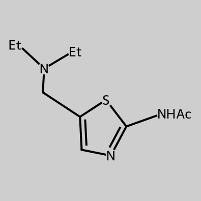 CCN(CC)Cc1cnc(NC(C)=O)s1